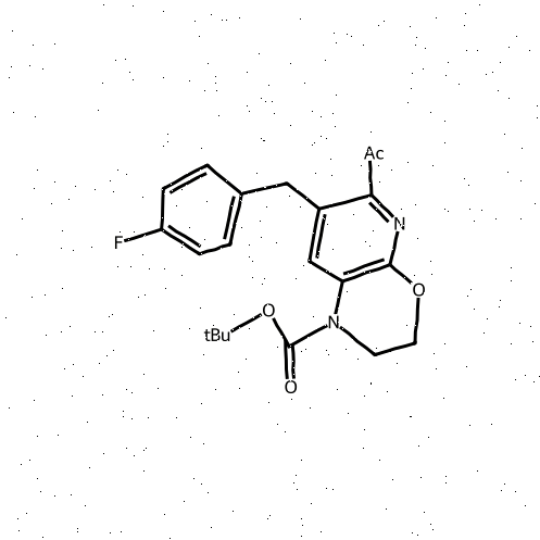 CC(=O)c1nc2c(cc1Cc1ccc(F)cc1)N(C(=O)OC(C)(C)C)CCO2